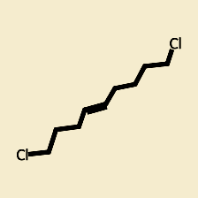 ClCCCC=CCCCCCl